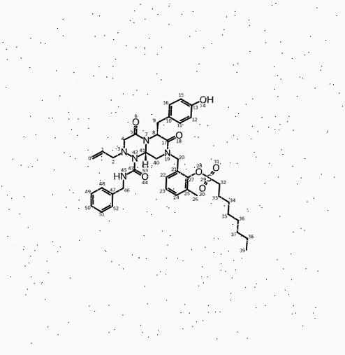 C=CCN1CC(=O)N2[C@@H](Cc3ccc(O)cc3)C(=O)N(Cc3cccc(C)c3OS(=O)(=O)CCCCCCCC)C[C@@H]2N1C(=O)NCc1ccccc1